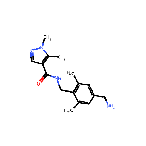 Cc1cc(CN)cc(C)c1CNC(=O)c1cnn(C)c1C